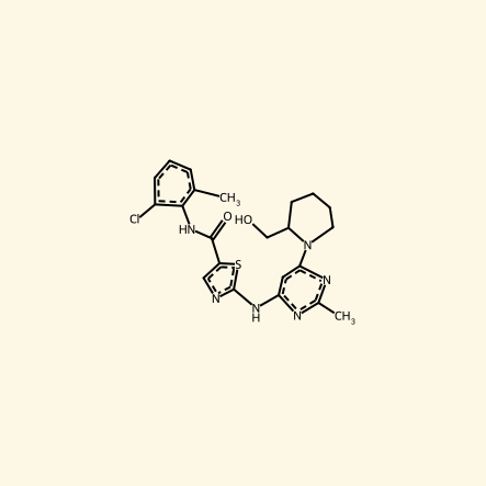 Cc1nc(Nc2ncc(C(=O)Nc3c(C)cccc3Cl)s2)cc(N2CCCCC2CO)n1